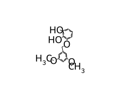 COc1cc(COc2cccc(O)c2O)cc(OC)c1